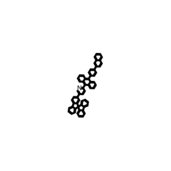 c1ccc2c(c1)-c1ccccc1C21c2ccccc2-c2ccc(-c3ccc(-c4c5ccccc5c(-c5ccc(-c6ccc7ccccc7c6)cc5)c5ccccc45)nc3)cc21